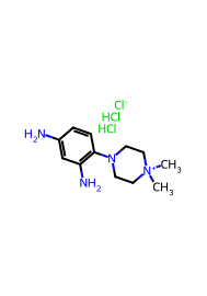 C[N+]1(C)CCN(c2ccc(N)cc2N)CC1.Cl.Cl.[Cl-]